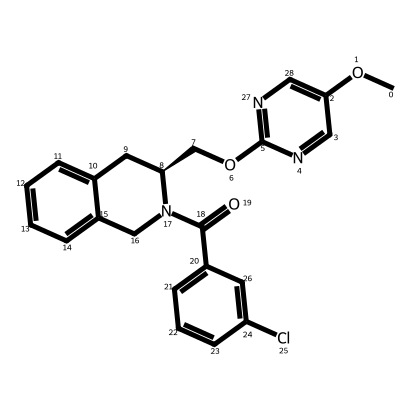 COc1cnc(OC[C@@H]2Cc3ccccc3CN2C(=O)c2cccc(Cl)c2)nc1